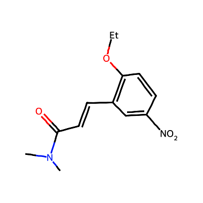 CCOc1ccc([N+](=O)[O-])cc1C=CC(=O)N(C)C